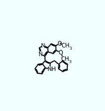 COc1cc2ncnc(-c3c(Cc4ccccc4)[nH]c4ccccc34)c2cc1OC